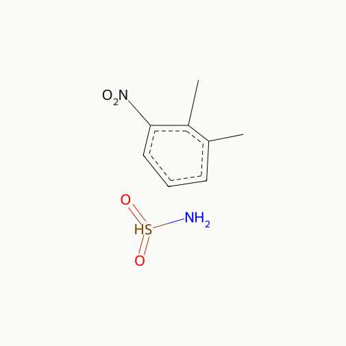 Cc1cccc([N+](=O)[O-])c1C.N[SH](=O)=O